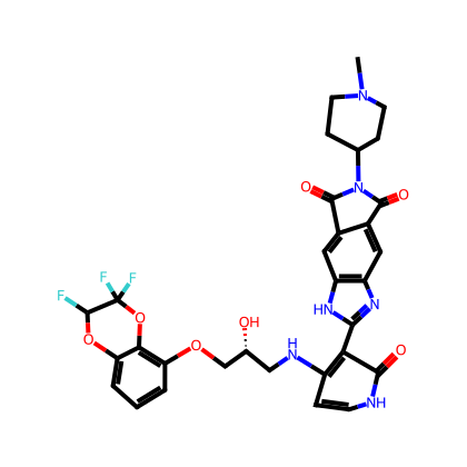 CN1CCC(N2C(=O)c3cc4nc(-c5c(NC[C@@H](O)COc6cccc7c6OC(F)(F)C(F)O7)cc[nH]c5=O)[nH]c4cc3C2=O)CC1